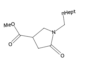 CCCCCCCCN1CC(C(=O)OC)CC1=O